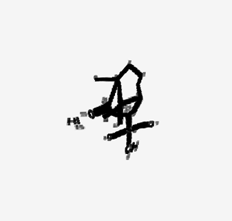 CC12CCC(C(S(=O)(=O)O)C1=O)C2(C)C.I